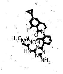 Cn1cc(Nc2nc(N)nc(-c3cccc(N4CCc5cc(C6CC6)cc(F)c5C4=O)c3CO)n2)nn1